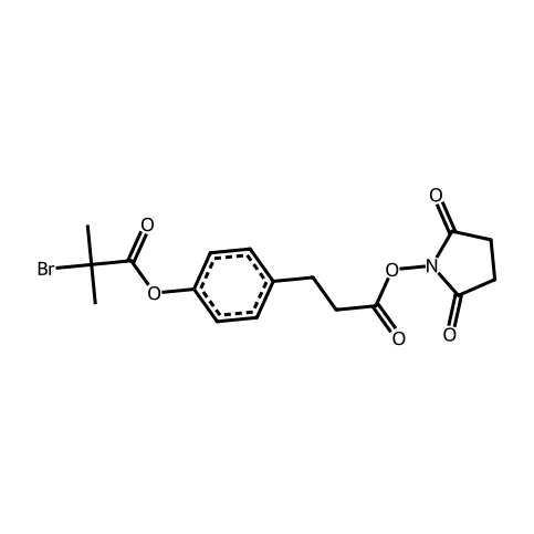 CC(C)(Br)C(=O)Oc1ccc(CCC(=O)ON2C(=O)CCC2=O)cc1